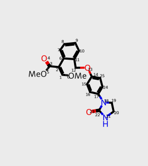 CO/C=C(/C(=O)OC)c1ccccc1COc1ccc(N2CCNC2=O)cc1